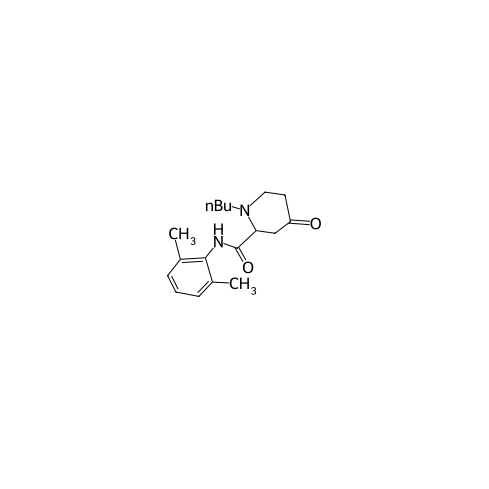 CCCCN1CCC(=O)CC1C(=O)Nc1c(C)cccc1C